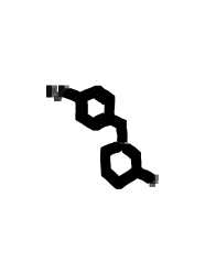 Nc1ccc(CN2CCCC(F)C2)cc1